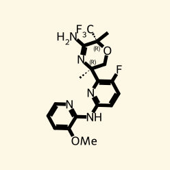 COc1cccnc1Nc1ccc(F)c([C@]2(C)CO[C@@](C)(C(F)(F)F)C(N)=N2)n1